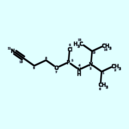 CC(C)N(NP(Cl)OCCC#N)C(C)C